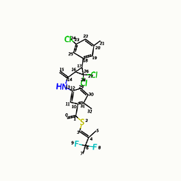 C=C(S/C=C(\C)C(C)(F)F)c1cc(NC(=C)C2C(c3cc(C)cc(Cl)c3)C2(Cl)Cl)ccc1C